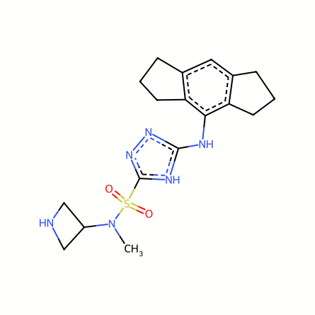 CN(C1CNC1)S(=O)(=O)c1nnc(Nc2c3c(cc4c2CCC4)CCC3)[nH]1